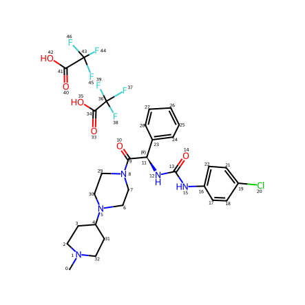 CN1CCC(N2CCN(C(=O)[C@H](NC(=O)Nc3ccc(Cl)cc3)c3ccccc3)CC2)CC1.O=C(O)C(F)(F)F.O=C(O)C(F)(F)F